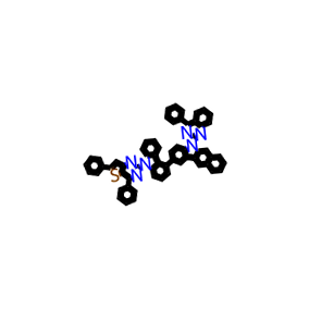 c1ccc(-c2cc3nc(-n4c5ccccc5c5c(-c6ccc7c(c6)c6cc8ccccc8cc6n7-c6nc(-c7ccccc7)c7ccccc7n6)cccc54)nc(-c4ccccc4)c3s2)cc1